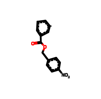 O=C(OCc1ccc([N+](=O)[O-])cc1)c1c[c]ccc1